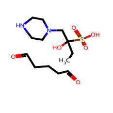 CCC(O)(CN1CCNCC1)S(=O)(=O)O.O=CCCCC=O